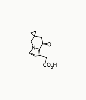 O=C(O)Cc1ccn2c1C(=O)CC1(CC1)C2